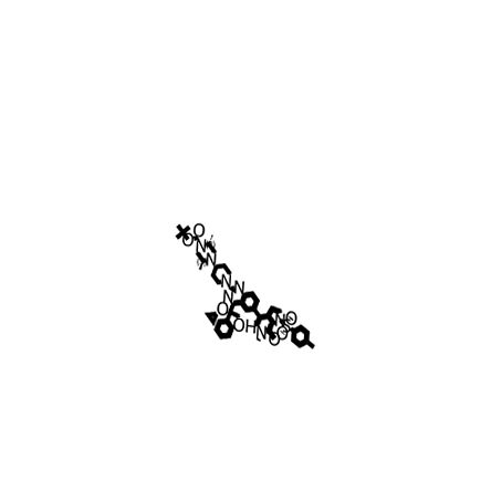 Cc1ccc(S(=O)(=O)n2ccc3c(-c4ccc5nc(N6CCC(N7C[C@@H](C)N(C(=O)OC(C)(C)C)C[C@@H]7C)CC6)nc(C(CO)(OC6CC6)c6ccccc6)c5c4)cn(C)c(=O)c32)cc1